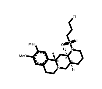 COc1cc2c(cc1OC)[C@@H]1C[C@@H]3[C@@H](CCCN3S(=O)(=O)CCCCl)CN1CC2